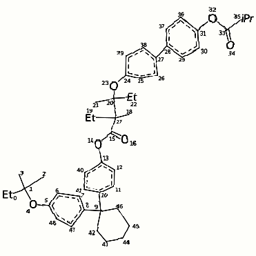 CCC(C)(C)Oc1ccc(C2(c3ccc(OC(=O)C(C)(CC)C(C)(CC)Oc4ccc(-c5ccc(OC(=O)C(C)C)cc5)cc4)cc3)CCCCC2)cc1